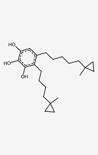 CC1(CCCCCc2cc(O)c(O)c(O)c2CCCCC2(C)CC2)CC1